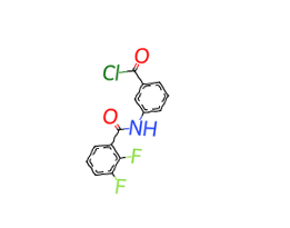 O=C(Cl)c1cccc(NC(=O)c2cccc(F)c2F)c1